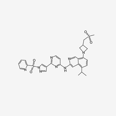 CC(C)c1ccc(N2CC(CS(C)(=O)=O)C2)c2cnc(Nc3ccnc(-c4cnn(S(=O)(=O)c5ccccn5)c4)n3)cc12